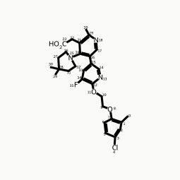 Cc1cc(Cl)ccc1OCCOc1ncc(-c2cnc(C)c(CC(=O)O)c2N2CCC(C)(C)CC2)cc1F